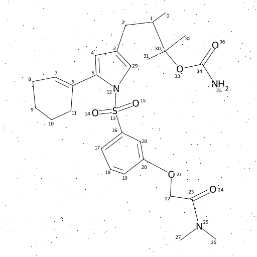 CC(Cc1cc(C2=CCCCC2)n(S(=O)(=O)c2cccc(OCC(=O)N(C)C)c2)c1)C(C)(C)OC(N)=O